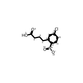 O=C(O)CCCc1cc(Cl)ccc1[N+](=O)[O-]